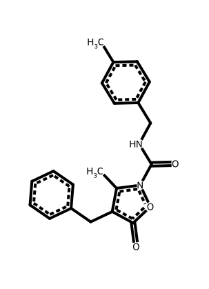 Cc1ccc(CNC(=O)n2oc(=O)c(Cc3ccccc3)c2C)cc1